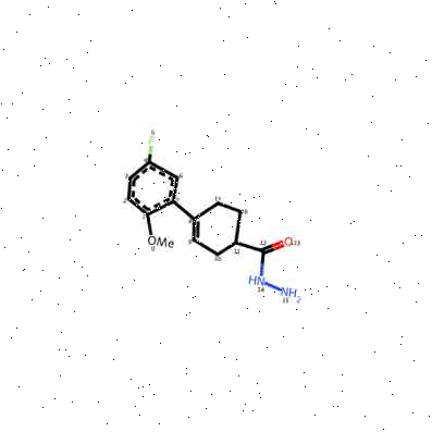 COc1ccc(F)cc1C1=CCC(C(=O)NN)CC1